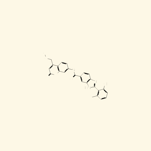 COCc1cc(=O)oc2cc(NC(=O)c3ccc4nc(-c5c(Cl)cccc5Cl)[nH]c4c3)ccc12